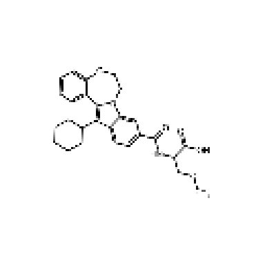 COCC(NC(=O)c1ccc2c(C3CCCCC3)c3n(c2c1)CCOc1ccccc1-3)C(=O)O